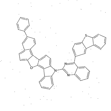 c1ccc(-c2ccc3c(ccc4oc5c(ccc6c5c5ccccc5n6-c5nc(-c6ccc7sc8ccccc8c7c6)c6ccccc6n5)c43)c2)cc1